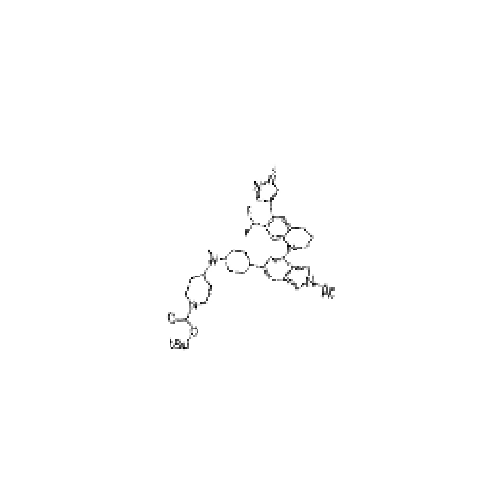 CC(=O)n1cc2cc(C3CCC(N(C)C4CCN(C(=O)OC(C)(C)C)CC4)CC3)cc(N3CCCc4cc(-c5cnn(C)c5)c(C(F)F)cc43)c2c1